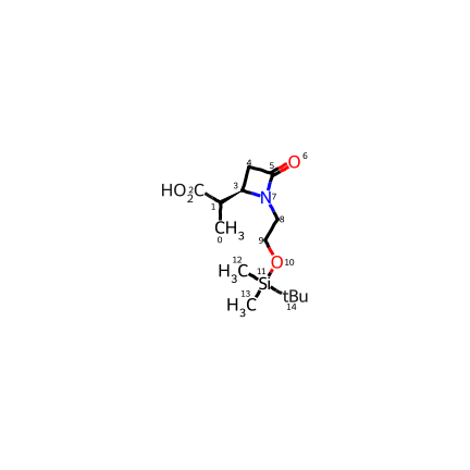 CC(C(=O)O)[C@H]1CC(=O)N1CCO[Si](C)(C)C(C)(C)C